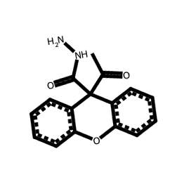 CC(=O)C1(C(=O)NN)c2ccccc2Oc2ccccc21